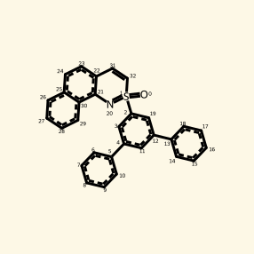 O=S1(c2cc(-c3ccccc3)cc(-c3ccccc3)c2)=Nc2c(ccc3ccccc23)C=C1